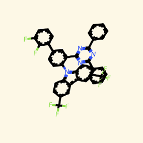 Fc1cccc(-c2ccc(-n3c4ccc(C(F)(F)F)cc4c4cc(C(F)(F)F)ccc43)c(-c3nc(-c4ccccc4)nc(-c4ccccc4)n3)c2)c1F